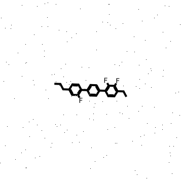 CCCc1ccc(-c2ccc(-c3ccc(CC)c(F)c3F)cc2)c(F)c1